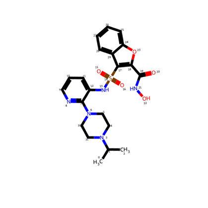 CC(C)N1CCN(c2ncccc2NS(=O)(=O)c2c(C(=O)NO)oc3ccccc23)CC1